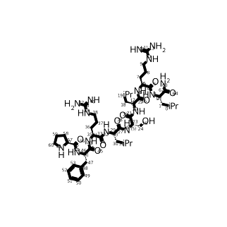 CC(C)C[C@H](NC(=O)[C@H](CCCNC(=N)N)NC(=O)[C@H](CC(C)C)NC(=O)[C@H](CO)NC(=O)[C@H](CC(C)C)NC(=O)[C@H](CCCNC(=N)N)NC(=O)[C@H](Cc1ccccc1)NC(=O)[C@@H]1CCCN1)C(N)=O